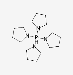 C1CCN([PH](N2CCCC2)(N2CCCC2)N2CCCC2)C1